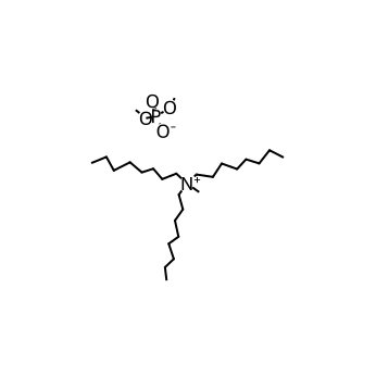 CCCCCCCC[N+](C)(CCCCCCCC)CCCCCCCC.COP(=O)([O-])OC